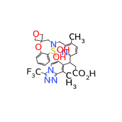 Cc1ccc(C(CC(=O)O)c2ccn3c(C(F)(F)F)nnc3c2C)nc1CN1CC2(COC2)Oc2ccccc2S1(O)O